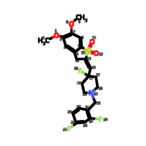 COc1cc2c(cc1OC)S(=O)(=O)C(=CC1(F)CCN(Cc3ccc(F)cc3F)CC1)C2